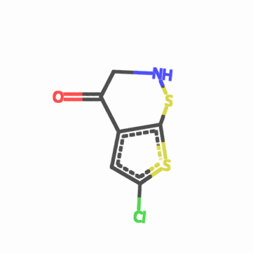 O=C1CNSc2sc(Cl)cc21